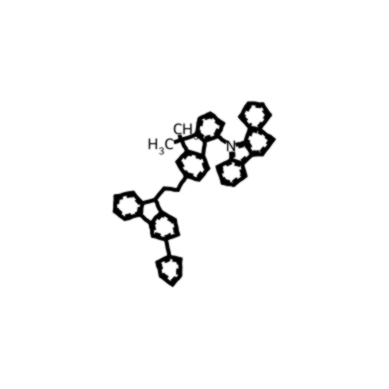 CC1(C)c2cc(CCC3c4ccccc4-c4cc(-c5ccccc5)ccc43)ccc2-c2c(-n3c4ccccc4c4ccc5ccccc5c43)cccc21